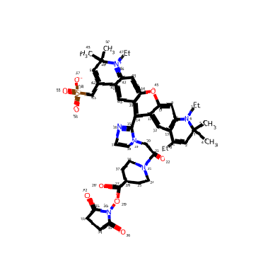 CCC1=CC(C)(C)N(CC)c2cc3c(cc21)C(c1nccn1CC(=O)N1CCC(C(=O)ON2C(=O)CCC2=O)CC1)=c1cc2c(cc1O3)=[N+](CC)C(C)(C)C=C2CS(=O)(=O)[O-]